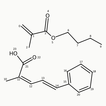 C=C(C)C(=O)OCCCC.CC(=CC=Cc1ccccc1)C(=O)O